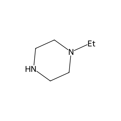 [CH2]CN1CCNCC1